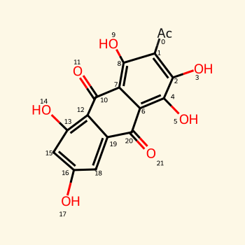 CC(=O)c1c(O)c(O)c2c(c1O)C(=O)c1c(O)cc(O)cc1C2=O